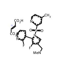 CNCc1cn(S(=O)(=O)c2cc(C)ccn2)c(-c2cccnc2F)c1F.O=C(O)/C=C/C(=O)O